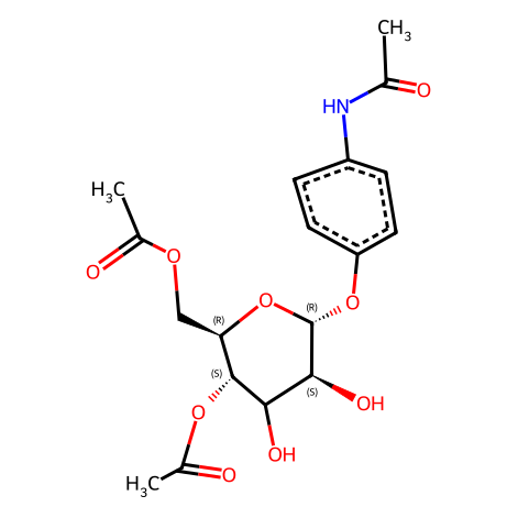 CC(=O)Nc1ccc(O[C@H]2O[C@H](COC(C)=O)[C@@H](OC(C)=O)C(O)[C@@H]2O)cc1